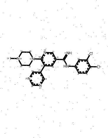 N=C(Nc1ccc(Cl)c(Cl)c1)c1cnc(N2CCN(I)CC2)c(-c2cncnc2)c1